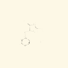 CSC1=NC(=O)C(Cc2ccccc2)N1.I